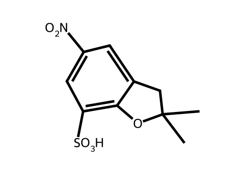 CC1(C)Cc2cc([N+](=O)[O-])cc(S(=O)(=O)O)c2O1